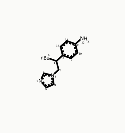 CCCCC(Cn1ccnc1)c1ccc(N)cc1